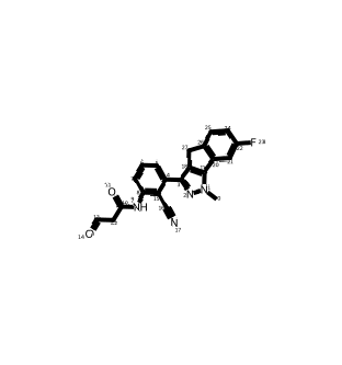 Cn1nc(-c2cccc(NC(=O)CC=O)c2C#N)c2c1-c1cc(F)ccc1C2